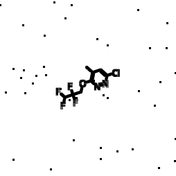 Cc1cc(Cl)nnc1OCC(F)(F)C(F)F